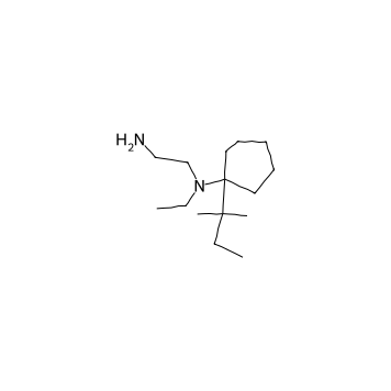 CCN(CCN)C1(C(C)(C)CC)CCCCC1